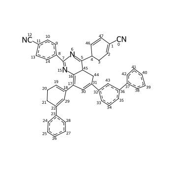 N#CC1=CCC(C2=NC(c3ccc(C#N)cc3)=NC3=C(C4=CCCC(c5ccccc5)=C4)C=C(c4cccc(-c5ccccc5)c4)CC23)C=C1